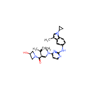 C=C(C)/C(=C\N(C)c1ccnc(Nc2ccc3c(c2)c(C)cn3C2CC2)n1)C(=O)N1CC(O)C1